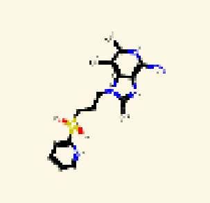 CCCc1nc2c(N)nc(C)c(C)c2n1CCCS(=O)(=O)c1ccccn1